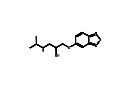 CC(C)NCC(O)COc1ccc2nsnc2c1